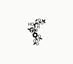 CC[C@H](NC(=O)OC(C)(C)C)[C@H](O)CN(CC(C)C)S(=O)(=O)c1ccc(C(OC(C)=O)OC(C)=O)cc1